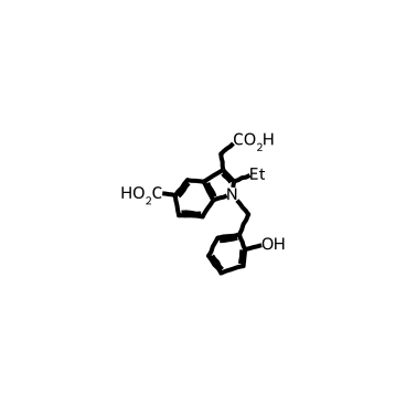 CCc1c(CC(=O)O)c2cc(C(=O)O)ccc2n1Cc1ccccc1O